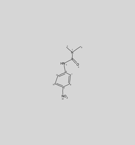 CN(C)C(=O)Nc1ccc([N+](=O)[O-])cc1